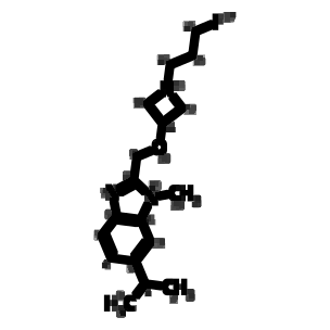 CC(C)c1ccc2nc(COC3CN(CCCF)C3)n(C)c2c1